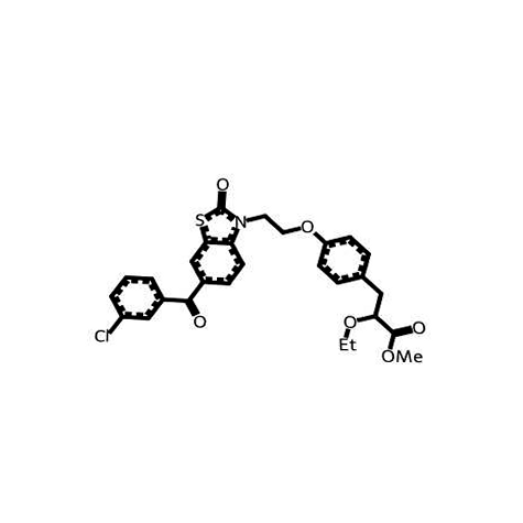 CCOC(Cc1ccc(OCCn2c(=O)sc3cc(C(=O)c4cccc(Cl)c4)ccc32)cc1)C(=O)OC